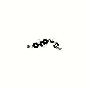 CC(=O)N1CCN(C(=O)COc2ccc3c(=O)c(-c4ccc(C(C)(C)C)cc4)coc3c2)CC1